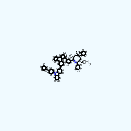 CC[C@H]1CC(c2ccccc2)[C@H](C)C[C@@H](C)/C(c2cccc(-c3cccc4c5ccccc5c5cc(C6=CC7C(C=C6)c6ccccc6N7c6ccc(-c7ccccc7)cc6)ccc5c34)c2)=N\C1C1C=CC=CC1